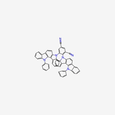 N#Cc1cc(C#N)c(-n2c3ccccc3c3c2ccc2c4ccccc4n(-c4ccccc4)c23)c(-n2c3ccccc3c3c2ccc2c4ccccc4n(-c4ccccc4)c23)c1